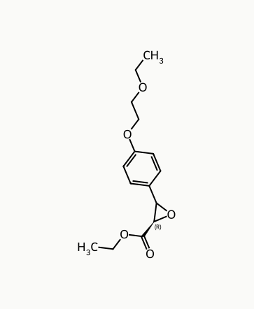 CCOCCOc1ccc(C2O[C@H]2C(=O)OCC)cc1